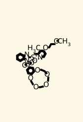 COCCCOc1ccnc(C[S+]([O-])c2nc3ccccc3n2S(=O)(=O)c2ccc3c(c2)OCCOCCOCCOCCO3)c1C